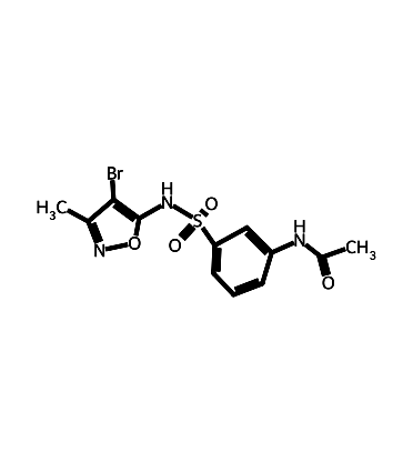 CC(=O)Nc1cccc(S(=O)(=O)Nc2onc(C)c2Br)c1